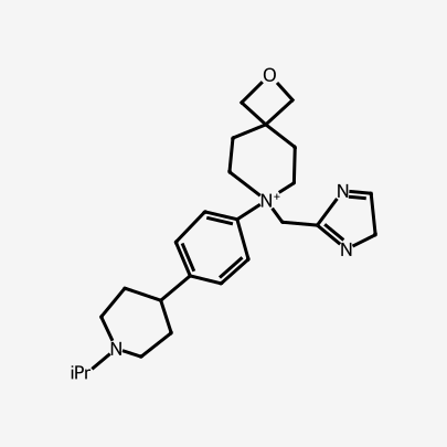 CC(C)N1CCC(c2ccc([N+]3(CC4=NCC=N4)CCC4(CC3)COC4)cc2)CC1